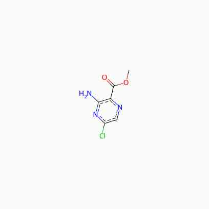 COC(=O)c1ncc(Cl)nc1N